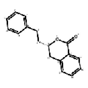 O=C1O[C@@H](CCc2ccccc2)Cc2ccccc21